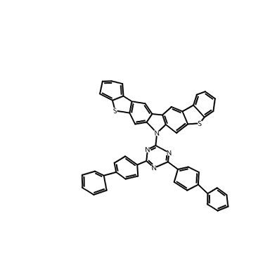 c1ccc(-c2ccc(-c3nc(-c4ccc(-c5ccccc5)cc4)nc(-n4c5cc6sc7ccccc7c6cc5c5cc6c(cc54)sc4ccccc46)n3)cc2)cc1